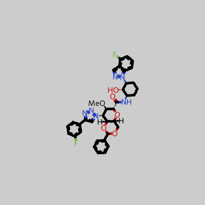 CO[C@@H]1[C@@H](n2cc(-c3cccc(F)c3)nn2)[C@H]2OC(c3ccccc3)OC[C@H]2O[C@H]1C(=O)N[C@@H]1CCC[C@H](n2ncc3c(F)cccc32)[C@H]1O